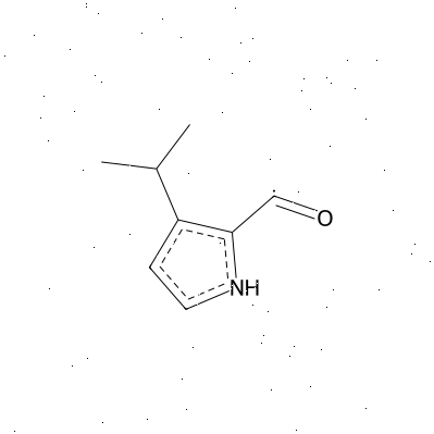 CC(C)c1cc[nH]c1[C]=O